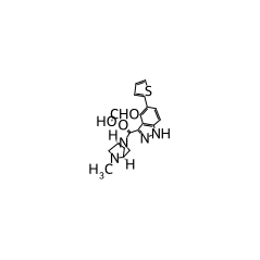 CN1C[C@@H]2C[C@H]1CN2C(=O)c1n[nH]c2ccc(-c3cccs3)cc12.O=CO